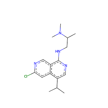 CC(C)c1cnc(NCC(C)N(C)C)c2cnc(Cl)cc12